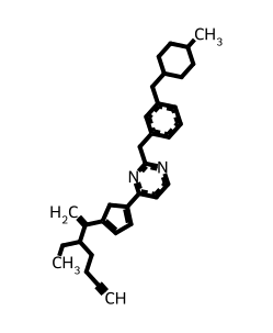 C#CCCC(CC)C(=C)C1=CC=C(c2ccnc(Cc3cccc(CC4CCC(C)CC4)c3)n2)C1